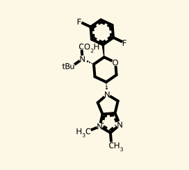 Cc1nc2c(n1C)CN([C@H]1CO[C@H](c3cc(F)ccc3F)[C@@H](N(C(=O)O)C(C)(C)C)C1)C2